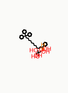 OCC(CO)(CO)CO[PH](O)(O)C(CCCCCCCCCCCC(c1ccccc1)(c1ccccc1)c1ccccc1)c1ccccc1